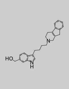 OCc1ccc2c(CCCCN3CCC4=C(Cc5ccccc54)C3)c[nH]c2c1